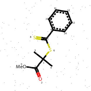 COC(=O)C(C)(C)SC(=S)c1ccccc1